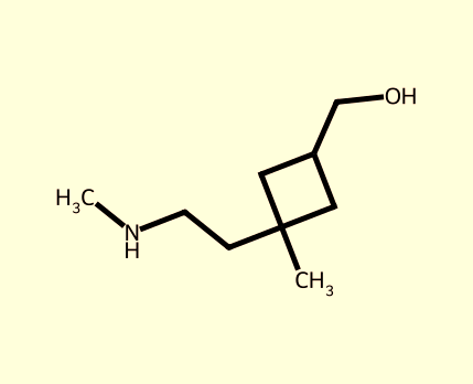 CNCCC1(C)CC(CO)C1